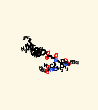 CC(C)CCC[C@@H](C)[C@H]1CC[C@H]2[C@@H]3CC=C4C[C@@H](OC(=O)CCC(=O)N(CCC(C)(C)NC(=O)OC(C)(C)C)CCC(C)(C)NC(=O)OC(C)(C)C)CC[C@]4(C)[C@H]3CC[C@]12C